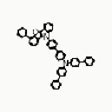 c1ccc(-c2ccc(N(c3ccc(-c4ccccc4)cc3)c3ccc(-c4ccc(-n5c6ccccc6c6oc7c(-c8ccccc8)cccc7c65)cc4)cc3)cc2)cc1